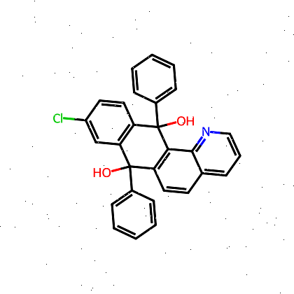 OC1(c2ccccc2)c2cc(Cl)ccc2C(O)(c2ccccc2)c2c1ccc1cccnc21